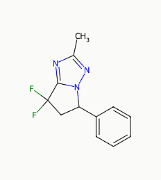 Cc1nc2n(n1)C(c1ccccc1)CC2(F)F